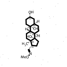 CON=C[C@H]1CC[C@]2(O)[C@@H]3CC[C@@H]4C[C@@H](O)CC[C@]4(C)[C@H]3CC[C@]12C